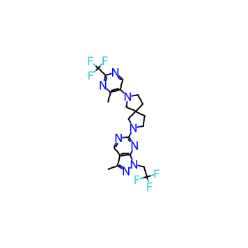 Cc1nc(C(F)(F)F)ncc1N1CCC2(CCN(c3ncc4c(C)nn(CC(F)(F)F)c4n3)C2)C1